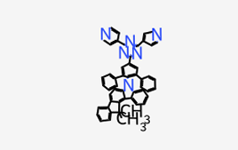 CC1(C)c2ccccc2-c2ccc3c(c21)c1ccccc1n3-c1c(-c2ccccc2)cc(-c2nc(-c3ccncc3)nc(-c3ccncc3)n2)cc1-c1ccccc1